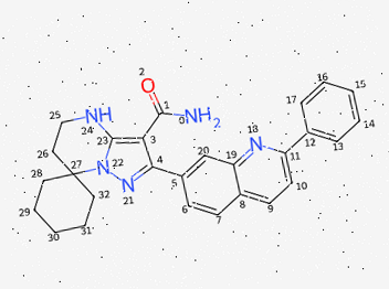 NC(=O)c1c(-c2ccc3ccc(-c4ccccc4)nc3c2)nn2c1NCCC21CCCCC1